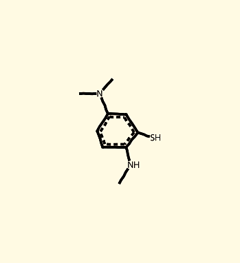 CNc1ccc(N(C)C)cc1S